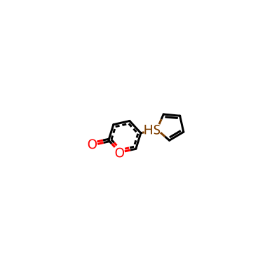 O=c1ccc([SH]2C=CC=C2)co1